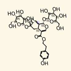 C/C=C1/[C@H](O[C@@H]2O[C@H](CO)[C@@H](O)[C@H](O)[C@H]2O)OC=C(C(=O)OCCc2ccc(O)cc2)[C@H]1CC(=O)O[C@@H]1O[C@H](CO)[C@H](O)[C@H](O)[C@H]1O